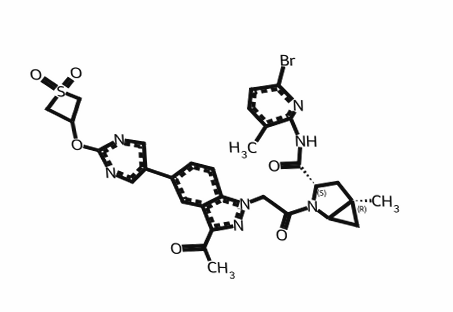 CC(=O)c1nn(CC(=O)N2C3C[C@]3(C)C[C@H]2C(=O)Nc2nc(Br)ccc2C)c2ccc(-c3cnc(OC4CS(=O)(=O)C4)nc3)cc12